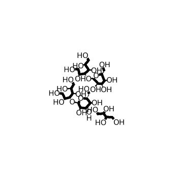 OCC(O)C(O)CO.OC[C@@H](O)[C@@H](O[C@H]1O[C@H](CO)[C@@H](O)[C@H](O)[C@H]1O)[C@H](O)[C@@H](O)CO.OC[C@@H](O)[C@@H](O[C@H]1O[C@H](CO)[C@@H](O)[C@H](O)[C@H]1O)[C@H](O)[C@@H](O)CO